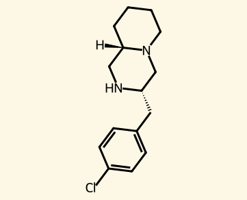 Clc1ccc(C[C@H]2CN3CCCC[C@H]3CN2)cc1